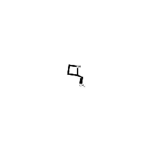 C=CC1CCN1